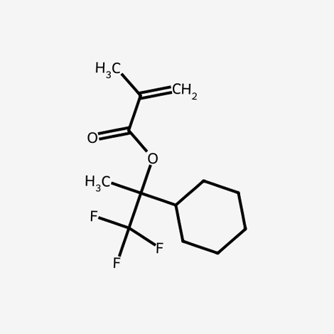 C=C(C)C(=O)OC(C)(C1CCCCC1)C(F)(F)F